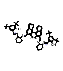 CC(C)(C)c1cc(/C=N/C2CCCCC2/N=C/c2cc3ccccc3c(-c3c(O)c(/C=N/C4CCCCC4/N=C/c4cc(C(C)(C)C)cc(C(C)(C)C)c4O)cc4ccccc34)c2O)c(O)c(C(C)(C)C)c1